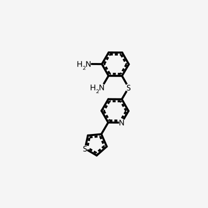 Nc1cccc(Sc2ccc(-c3ccsc3)nc2)c1N